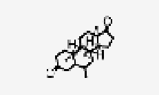 CC1C[C@@H]2[C@@H](CC[C@]3(C)C(=O)CC[C@@H]23)[C@@]2(C)CCC(=O)CC12